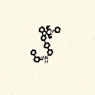 c1ccc(-c2cccc(CNNc3cccc(-c4ccc(-c5ccc6c(c5)C5(c7ccccc7-6)c6ccccc6N(c6ccccc6)c6ccccc65)cc4)c3)c2)cc1